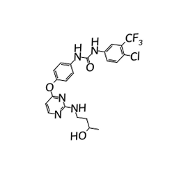 CC(O)CCNc1nccc(Oc2ccc(NC(=O)Nc3ccc(Cl)c(C(F)(F)F)c3)cc2)n1